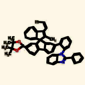 CC/C=C\C1=C(C)C2(C3=CCC=CC=C31)c1cc(B3OC(C)(C)C(C)(C)O3)ccc1-c1ccc(-c3ccccc3-n3c(-c4ccccc4)nc4ccccc43)cc12